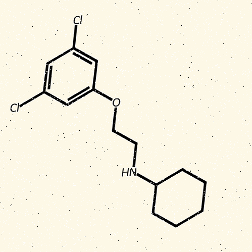 Clc1cc(Cl)cc(OCCNC2CCCCC2)c1